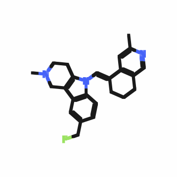 Cc1cc2c(cn1)CCC/C2=C\n1c2c(c3cc(CF)ccc31)CN(C)CC2